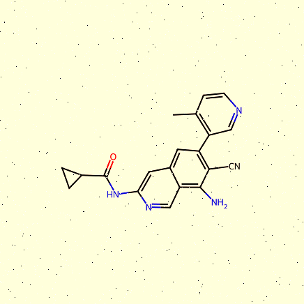 Cc1ccncc1-c1cc2cc(NC(=O)C3CC3)ncc2c(N)c1C#N